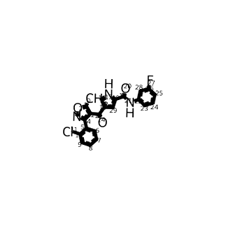 Cc1onc(-c2ccccc2Cl)c1C(=O)c1c[nH]c(C(=O)Nc2cccc(F)c2)c1